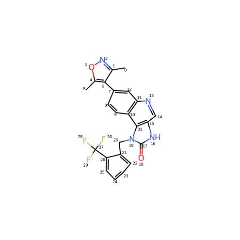 Cc1noc(C)c1-c1ccc2c(c1)ncc1[nH]c(=O)n(Cc3ccccc3C(F)(F)F)c12